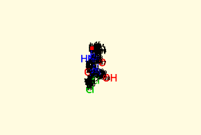 C[C@@H]1[C@@H](/N=C(/Nc2ccc3c(=O)n(CCc4ccc(Cl)cc4Cl)c(N4CCC(O)CC4)nc3c2)N2CC(=O)C2)C[C@@H]2C[C@H]1C2(C)C